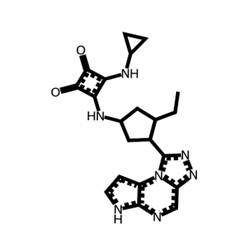 CCC1CC(Nc2c(NC3CC3)c(=O)c2=O)CC1c1nnc2cnc3[nH]ccc3n12